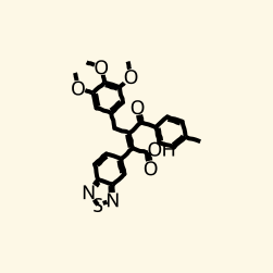 COc1cc(CC(C(=O)c2ccc(C)cc2)=C(C(=O)O)c2ccc3nsnc3c2)cc(OC)c1OC